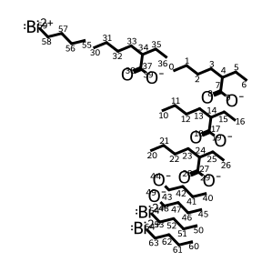 CCCCC(CC)C(=O)[O-].CCCCC(CC)C(=O)[O-].CCCCC(CC)C(=O)[O-].CCCCC(CC)C(=O)[O-].CCCC[O-].CCCC[O-].CCC[CH2][Bi+2].CCC[CH2][Bi+2].CCC[CH2][Bi+2]